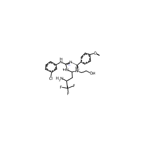 COc1ccc(C(=O)/N=C(/Nc2cccc(Cl)c2)NC(CC(N)C(F)(F)F)NCCO)cc1